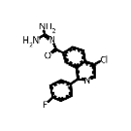 NC(N)=NC(=O)c1ccc2c(Cl)cnc(-c3ccc(F)cc3)c2c1